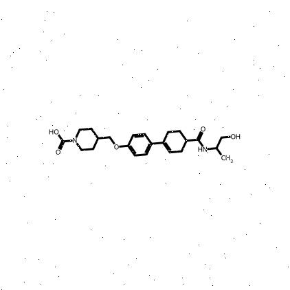 CC(CO)NC(=O)C1CC=C(c2ccc(OCC3CCN(C(=O)O)CC3)cc2)CC1